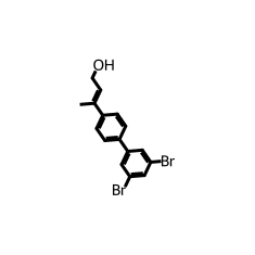 C/C(=C\CO)c1ccc(-c2cc(Br)cc(Br)c2)cc1